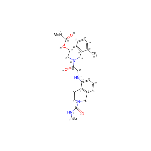 CCCCNC(=O)N1CCc2c(cccc2NCC(=O)N(CCOC(=O)NC)Cc2ccccc2C(F)(F)F)C1